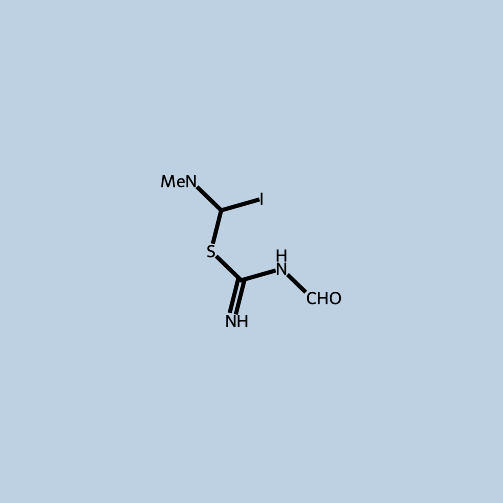 CNC(I)SC(=N)NC=O